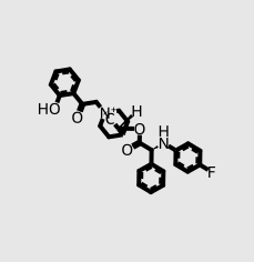 O=C(C[N+]12CCC(CC1)[C@@H](OC(=O)[C@H](Nc1ccc(F)cc1)c1ccccc1)C2)c1ccccc1O